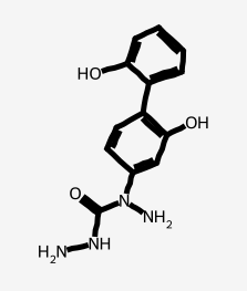 NNC(=O)N(N)c1ccc(-c2ccccc2O)c(O)c1